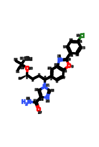 C[C@@H](CCC(c1ccc2oc(-c3ccc(Cl)cc3)nc2c1)n1cnc(C(N)=O)c1)O[Si](C)(C)C(C)(C)C